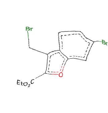 CCOC(=O)c1oc2cc(Br)ccc2c1CBr